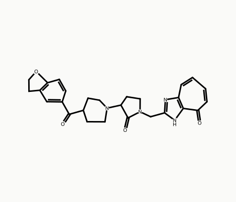 O=C(c1ccc2c(c1)CCO2)C1CCN(C2CCN(Cc3nc4ccccc(=O)c4[nH]3)C2=O)CC1